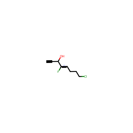 C#CC(O)/C(F)=C/CCCCl